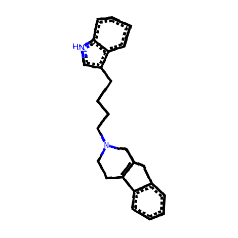 c1ccc2c(c1)CC1=C2CCN(CCCCc2c[nH]c3ccccc23)C1